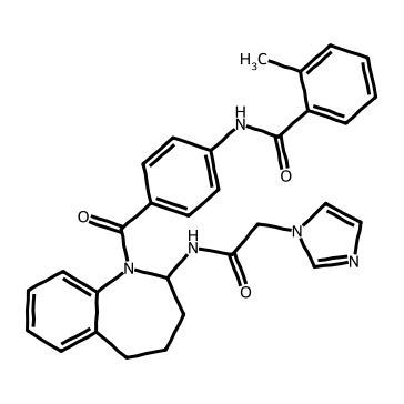 Cc1ccccc1C(=O)Nc1ccc(C(=O)N2c3ccccc3CCCC2NC(=O)Cn2ccnc2)cc1